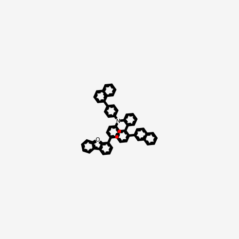 c1ccc(-c2ccccc2N(c2ccc(-c3cccc4ccccc34)cc2)c2ccc(-c3cccc4c3oc3ccccc34)cc2)c(-c2ccc3ccccc3c2)c1